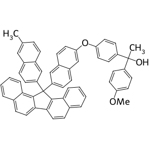 COc1ccc(C(C)(O)c2ccc(Oc3ccc4cc(C5(c6ccc7cc(C)ccc7c6)c6c(ccc7ccccc67)-c6ccc7ccccc7c65)ccc4c3)cc2)cc1